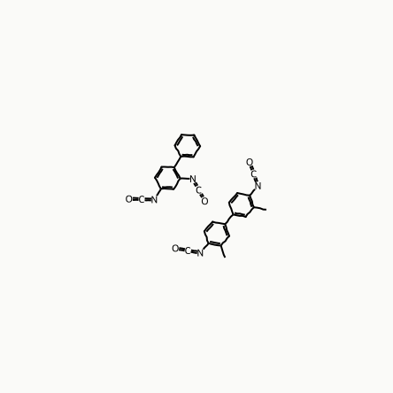 Cc1cc(-c2ccc(N=C=O)c(C)c2)ccc1N=C=O.O=C=Nc1ccc(-c2ccccc2)c(N=C=O)c1